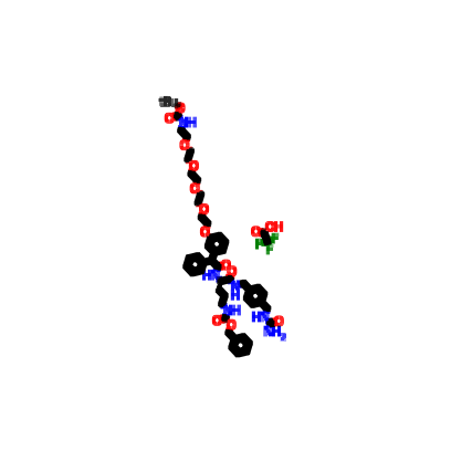 CC(C)(C)OC(=O)NCCOCCOCCOCCOCCOc1cccc(C(C(=O)N[C@H](CCCNC(=O)OCc2ccccc2)C(=O)NCc2ccc(CNC(N)=O)cc2)c2ccccc2)c1.O=C(O)C(F)(F)F